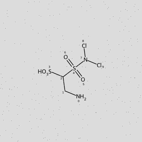 NCC(S(=O)(=O)O)S(=O)(=O)N(Cl)Cl